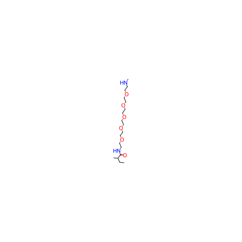 CCC(C)C(=O)NCCOCCOCCOCCOCCOCCNC